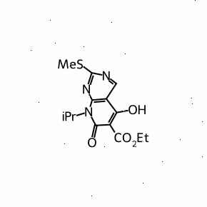 CCOC(=O)c1c(O)c2cnc(SC)nc2n(C(C)C)c1=O